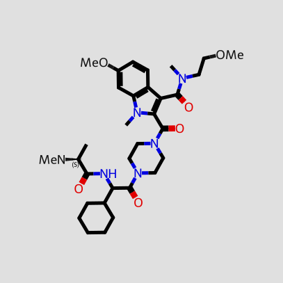 CN[C@@H](C)C(=O)NC(C(=O)N1CCN(C(=O)c2c(C(=O)N(C)CCOC)c3ccc(OC)cc3n2C)CC1)C1CCCCC1